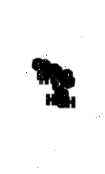 O=C(CCCCC[C@H](NC(=O)C1=CC=C2C=CC=CC2N1)C(=O)Nc1cccc2cccnc12)NO